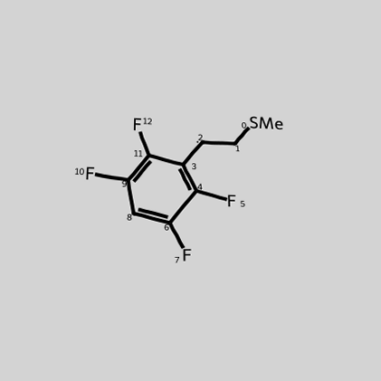 CSC[CH]c1c(F)c(F)cc(F)c1F